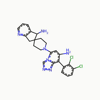 Nc1cc(N2CCC3(CC2)Cc2ncccc2C3N)n2cnnc2c1-c1cccc(Cl)c1Cl